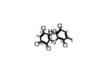 Cc1cc(Cl)c(O)c(Sc2c(O)c(Cl)cc(Cl)c2Cl)c1Cl